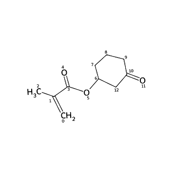 C=C(C)C(=O)OC1CCCC(=O)C1